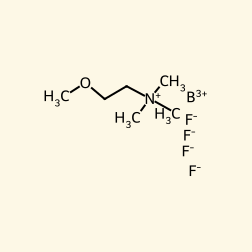 COCC[N+](C)(C)C.[B+3].[F-].[F-].[F-].[F-]